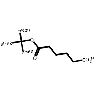 CCCCCCCCCC(CCCCCC)(CCCCCC)OC(=O)CCCCC(=O)O